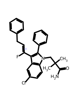 CC(C)(Cn1c(-c2ccccc2)c(/C(F)=C/Cc2ccccc2)c2cc(Cl)ccc21)C(N)=O